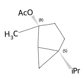 CC(=O)O[C@]1(C)CC[C@@]2(C(C)C)CC21